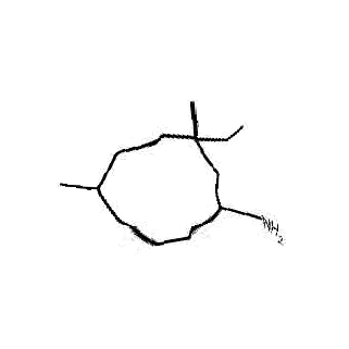 CC1CCCC(N)CC(C)(C)CC1